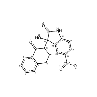 O=C1c2ccccc2CCC1C1(O)C(=O)Nc2ccc([N+](=O)[O-])cc21